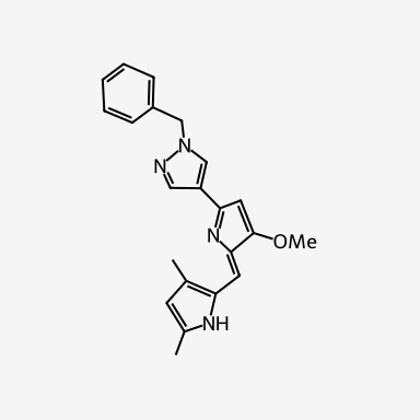 COC1=CC(c2cnn(Cc3ccccc3)c2)=N/C1=C\c1[nH]c(C)cc1C